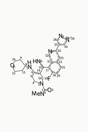 CNC(=O)N1CCC(NC2CCOCC2)=C(C(=N)c2c(F)ccc3cc(-c4cnn(C)c4)ncc23)C1